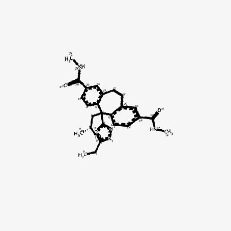 CCc1nnc(C2(C[C@@H](C)N)c3ccc(C(=O)NC)cc3CCc3cc(C(=O)NC)ccc32)o1